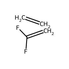 C=C.C=C(F)F